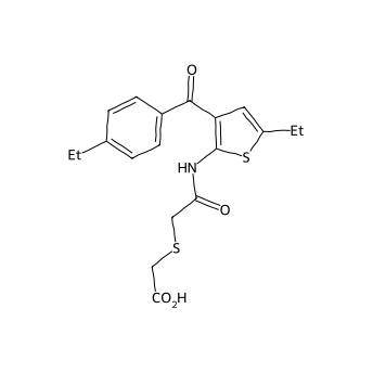 CCc1ccc(C(=O)c2cc(CC)sc2NC(=O)CSCC(=O)O)cc1